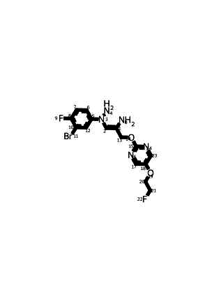 N/C(=C\N(N)c1ccc(F)c(Br)c1)COc1ncc(OCCF)cn1